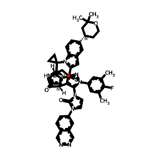 Cc1cc(-n2nc3c(c2-n2ccn(-c4ccc5cnncc5c4)c2=O)[C@@H]2CC[C@H](C3)N2C(=O)c2cc3cc([C@H]4CCOC(C)(C)C4)ccc3n2C2(c3noc(=O)[nH]3)CC2)cc(C)c1F